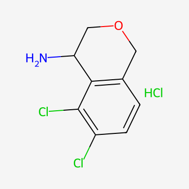 Cl.NC1COCc2ccc(Cl)c(Cl)c21